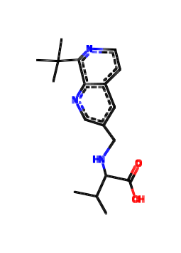 CC(C)C(NCc1cnc2c(C(C)(C)C)nccc2c1)C(=O)O